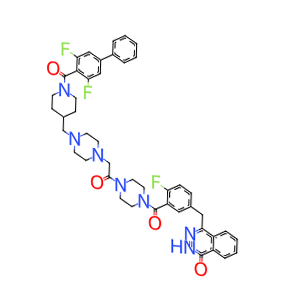 O=C(CN1CCN(CC2CCN(C(=O)c3c(F)cc(-c4ccccc4)cc3F)CC2)CC1)N1CCN(C(=O)c2cc(Cc3n[nH]c(=O)c4ccccc34)ccc2F)CC1